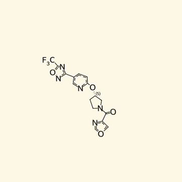 O=C(c1cocn1)N1CC[C@H](Oc2ccc(-c3noc(C(F)(F)F)n3)cn2)C1